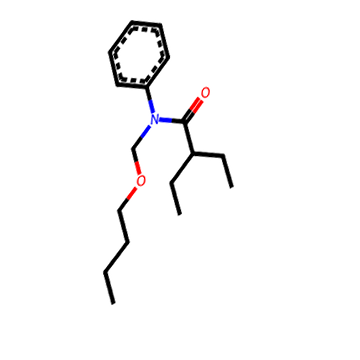 CCCCOCN(C(=O)C(CC)CC)c1ccccc1